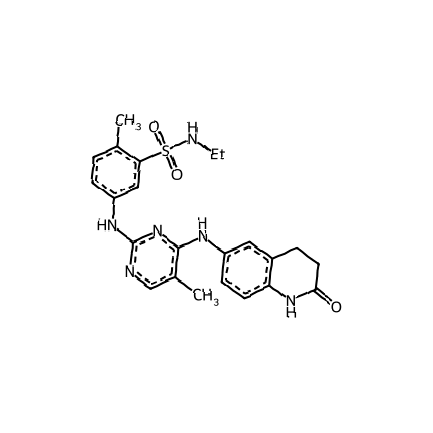 CCNS(=O)(=O)c1cc(Nc2ncc(C)c(Nc3ccc4c(c3)CCC(=O)N4)n2)ccc1C